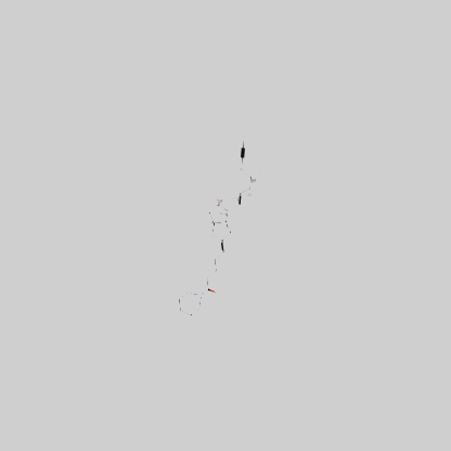 CC#CC[C@@H](C)[C@@H](O)/C=C/[C@@H]1[C@H]2CC(=CCCCC(=O)N3CCCCC3)C[C@H]2C[C@H]1O